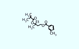 C=C(C)C(=O)OC(C)(CC)CCOC(=O)c1cccc(C)c1